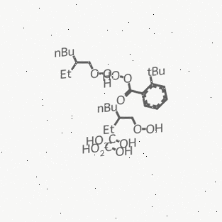 CC(C)(C)c1ccccc1C(=O)OO.CCCCC(CC)COO.CCCCC(CC)COO.O=C(O)O.O=C(O)O